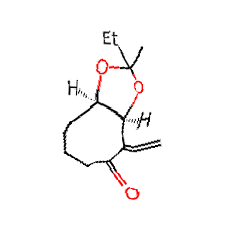 C=C1C(=O)CCC[C@H]2OC(C)(CC)O[C@@H]12